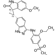 CCOc1cc(S(C)(=O)=O)ccc1Nc1n[nH]c2cc([C@@H]3C[C@@]34C(=O)Nc3ccc(OC)cc34)ccc12